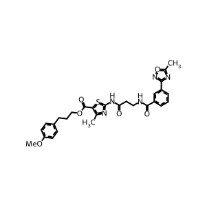 COc1ccc(CCCOC(=O)c2sc(NC(=O)CCNC(=O)c3cccc(-c4noc(C)n4)c3)nc2C)cc1